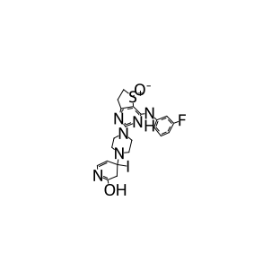 [O-][S+]1CCc2nc(N3CCN(C4(I)C=CN=C(O)C4)CC3)nc(Nc3cccc(F)c3)c21